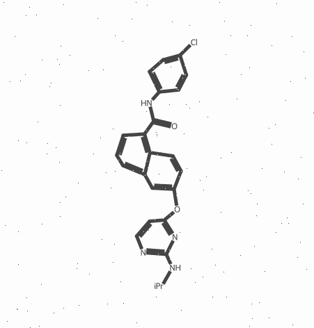 CC(C)Nc1nccc(Oc2ccc3c(C(=O)Nc4ccc(Cl)cc4)cccc3c2)n1